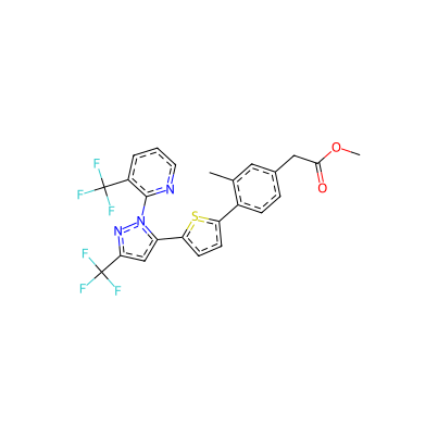 COC(=O)Cc1ccc(-c2ccc(-c3cc(C(F)(F)F)nn3-c3ncccc3C(F)(F)F)s2)c(C)c1